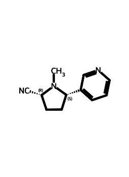 CN1[C@@H](C#N)CC[C@H]1c1cccnc1